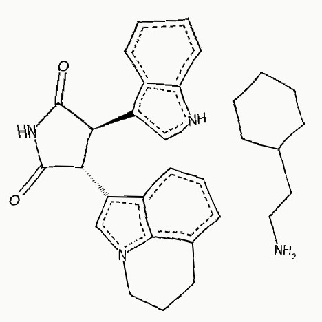 NCCC1CCCCC1.O=C1NC(=O)[C@@H](c2cn3c4c(cccc24)CCC3)[C@@H]1c1c[nH]c2ccccc12